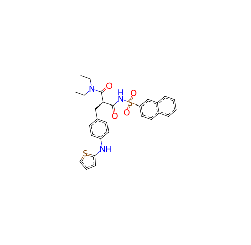 CCN(CC)C(=O)[C@H](Cc1ccc(Nc2cccs2)cc1)C(=O)NS(=O)(=O)c1ccc2ccccc2c1